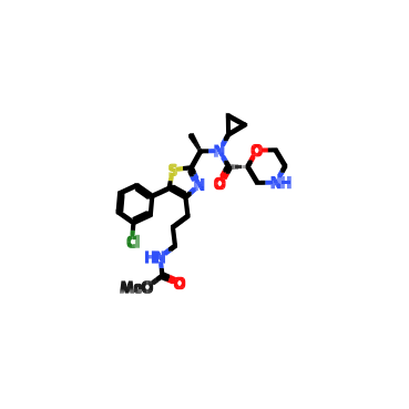 COC(=O)NCCCc1nc([C@@H](C)N(C(=O)[C@H]2CNCCO2)C2CC2)sc1-c1cccc(Cl)c1